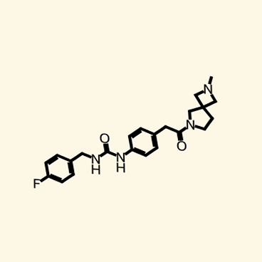 CN1CC2(CCN(C(=O)Cc3ccc(NC(=O)NCc4ccc(F)cc4)cc3)C2)C1